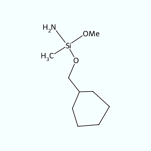 CO[Si](C)(N)OCC1CCCCC1